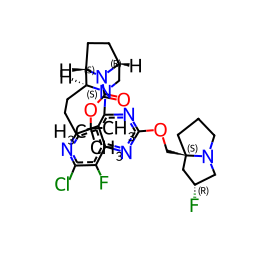 CC(C)(C)OC(=O)N1[C@@H]2CC[C@H]1[C@@H]1CCc3nc(Cl)c(F)c4nc(OC[C@@]56CCCN5C[C@H](F)C6)nc(c34)N1C2